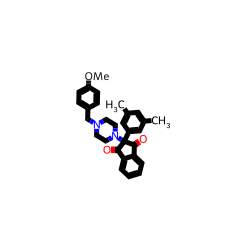 COc1ccc(CN2CCN(C3(c4cc(C)cc(C)c4)C(=O)c4ccccc4C3=O)CC2)cc1